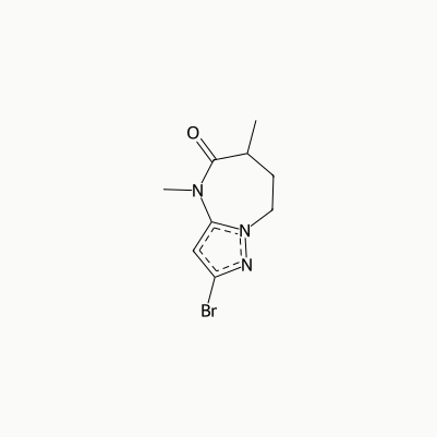 CC1CCn2nc(Br)cc2N(C)C1=O